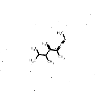 C=C(C(C)=C=NC)C(C)C(C)C